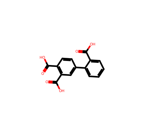 O=C(O)c1ccc(-c2ccccc2C(=O)O)cc1C(=O)O